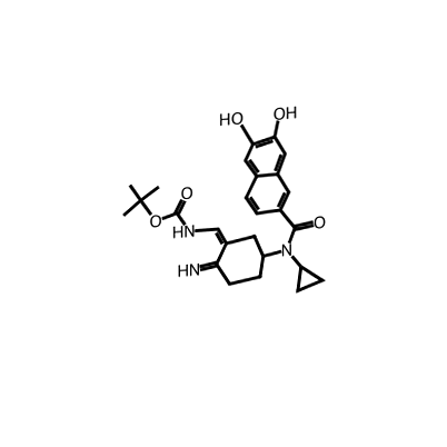 CC(C)(C)OC(=O)N/C=C1/CC(N(C(=O)c2ccc3cc(O)c(O)cc3c2)C2CC2)CCC1=N